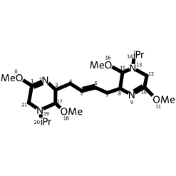 COC1=NC(CC=CCC2N=C(OC)CN(C(C)C)C2OC)C(OC)N(C(C)C)C1